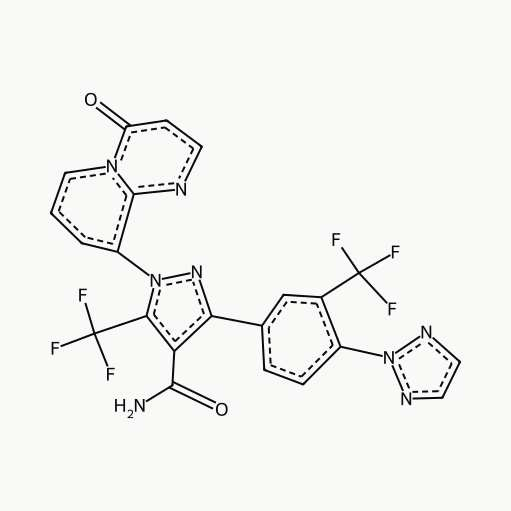 NC(=O)c1c(-c2ccc(-n3nccn3)c(C(F)(F)F)c2)nn(-c2cccn3c(=O)ccnc23)c1C(F)(F)F